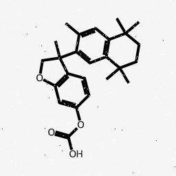 Cc1cc2c(cc1C1(C)COc3cc(OC(=O)O)ccc31)C(C)(C)CCC2(C)C